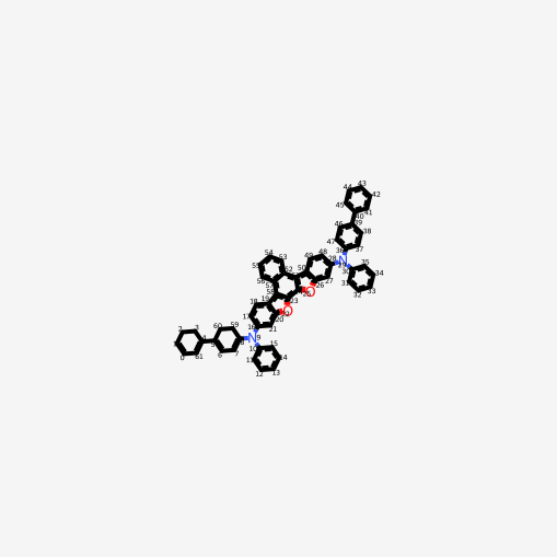 C1=CCCC(C2=CC=C(N(c3ccccc3)c3ccc4c(c3)oc3c5oc6cc(N(c7ccccc7)c7ccc(-c8ccccc8)cc7)ccc6c5c5ccccc5c43)CC2)=C1